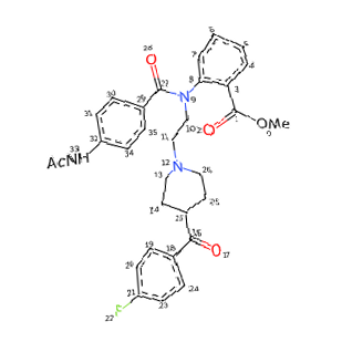 COC(=O)c1ccccc1N(CCN1CCC(C(=O)c2ccc(F)cc2)CC1)C(=O)c1ccc(NC(C)=O)cc1